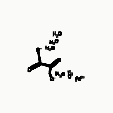 O.O.O.O.O.O=C([O-])C(=O)[O-].[Fe+2]